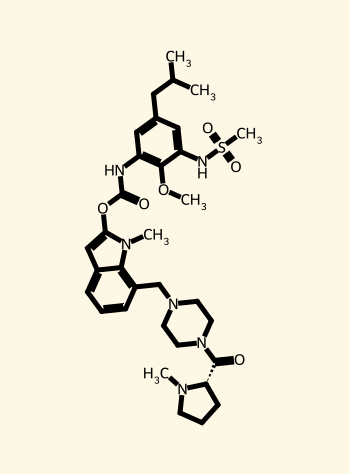 COc1c(NC(=O)Oc2cc3cccc(CN4CCN(C(=O)[C@@H]5CCCN5C)CC4)c3n2C)cc(CC(C)C)cc1NS(C)(=O)=O